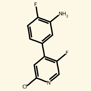 Nc1cc(-c2cc(Cl)ncc2F)ccc1F